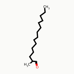 CCCCCCCCCCCCCC(C)[C]=O